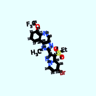 CCS(=O)(=O)c1c(-c2nc3cnc4c(OC(F)(F)F)cccc4c3n2C)nn2ccc(Br)cc12